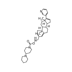 C[C@]12CCC(CNOC(=O)N3CCC(N4CCCCC4)CC3)C=C1CC[C@H]1[C@@H]2CC[C@]2(C)C(c3cccnc3)=CC[C@@H]12